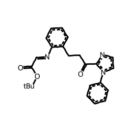 CC(C)(C)OC(=O)C=Nc1ccccc1CCC(=O)c1nccn1-c1ccccc1